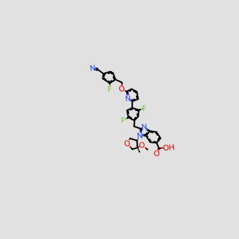 CO[C@]1(C)COC[C@H]1n1c(Cc2cc(F)c(-c3cccc(OCc4ccc(C#N)cc4F)n3)cc2F)nc2ccc(C(=O)O)cc21